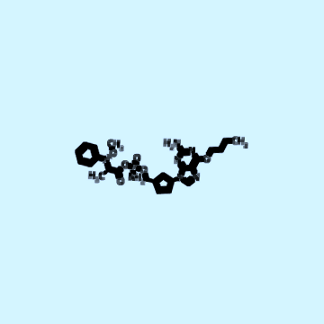 CCCCOc1nc(N)nc2c1ncn2[C@H]1C=C[C@@H](COP(N)(=O)OC(=O)[C@H](C)N(OC)c2ccccc2)C1